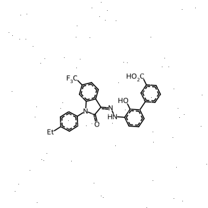 CCc1ccc(N2C(=O)/C(=N\Nc3cccc(-c4cccc(C(=O)O)c4)c3O)c3ccc(C(F)(F)F)cc32)cc1